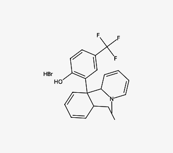 Br.CCC1C=CC=CC1(c1cc(C(F)(F)F)ccc1O)C1C=CC=CN1C